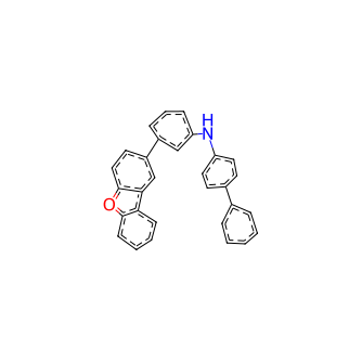 c1ccc(-c2ccc(Nc3cccc(-c4ccc5oc6ccccc6c5c4)c3)cc2)cc1